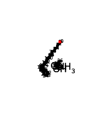 CCCCCCCCCCCCCCCC[N+](C)(C)Cc1ccccc1.CCCS(=O)(=O)O.N